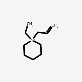 C=CC[N+]1(CC)CCCCC1